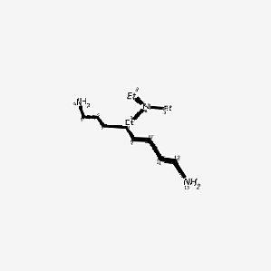 CCN(CC)CC.NCCCCCCCCN